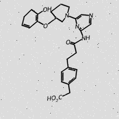 O=C(O)Cc1ccc(CCC(=O)Nc2cncc(N3CCCC(OC4=C(O)CCC=C4)C3)n2)cc1